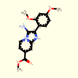 COC(=O)c1ccn2c(N)c(-c3ccc(OC)cc3OC)nc2c1